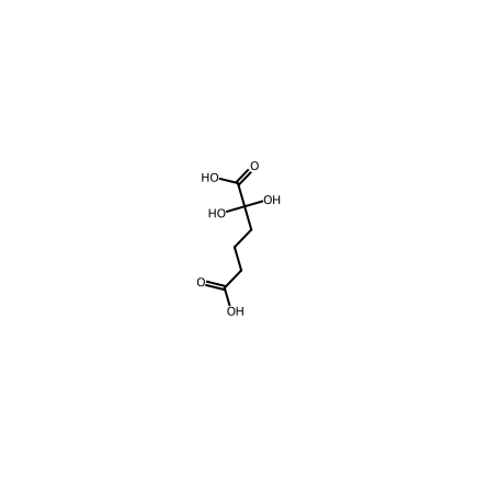 O=C(O)CCCC(O)(O)C(=O)O